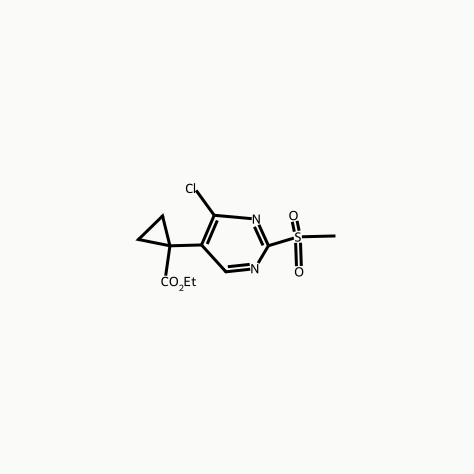 CCOC(=O)C1(c2cnc(S(C)(=O)=O)nc2Cl)CC1